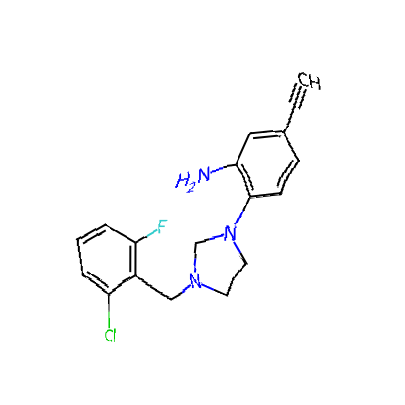 C#Cc1ccc(N2CCN(Cc3c(F)cccc3Cl)C2)c(N)c1